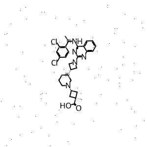 C[C@@H](Nc1nc(N2CC([C@H]3CCCN([C@H]4C[C@](C)(C(=O)O)C4)C3)C2)nc2ccccc12)c1ccc(Cl)cc1Cl